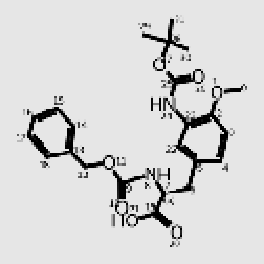 COc1ccc(C[C@H](NC(=O)OCc2ccccc2)C(=O)O)cc1NC(=O)OC(C)(C)C